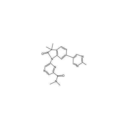 Cc1ncc(-c2ccc3c(c2)N(c2cncc(C(=O)N(C)C)n2)C(=O)C3(C)C)cn1